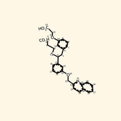 O=C(O)CCSC(Cc1cccc(OCC(=O)O)c1)c1cccc(OCc2ccc3ccccc3n2)c1